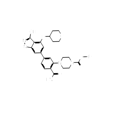 Cc1n[nH]c2cc(-c3ccc(C(N)=O)c(N4CCN(C(=O)OC(C)C)CC4)c3)cc(OC3CCOCC3)c12